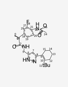 C[C@H](C(=O)NCc1cc(C2=C(C(C)(C)C)CCCC2)n[nH]1)c1ccc(NS(C)(=O)=O)c(F)c1